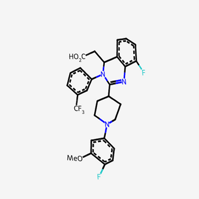 COc1cc(N2CCC(C3=Nc4c(F)cccc4C(CC(=O)O)N3c3cccc(C(F)(F)F)c3)CC2)ccc1F